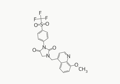 COc1cccc2c(CN3CC(=O)N(c4ccc(S(=O)(=O)C(F)(F)F)cc4)C3=O)ccnc12